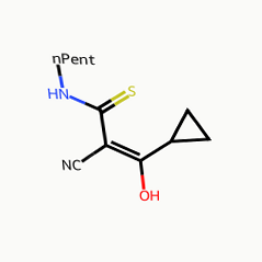 CCCCCNC(=S)C(C#N)=C(O)C1CC1